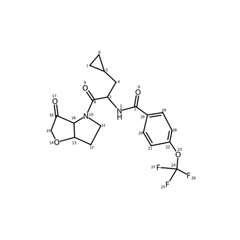 O=C(NC(CC1CC1)C(=O)N1CCC2OCC(=O)C21)c1ccc(OC(F)(F)F)cc1